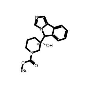 CC(C)(C)OC(=O)N1CCC[C@@](O)(C2c3ccccc3-c3cncn32)C1